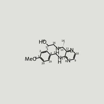 COc1ccc(CNc2nccnc2[C@@H](C)NCCO)cc1